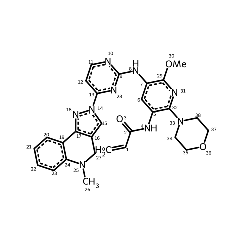 C=CC(=O)Nc1cc(Nc2nccc(-n3cc4c(n3)-c3ccccc3N(C)C4)n2)c(OC)nc1N1CCOCC1